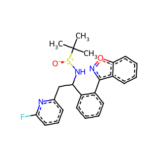 CC(C)(C)[S@+]([O-])NC(Cc1cccc(F)n1)c1ccccc1-c1noc2ccccc12